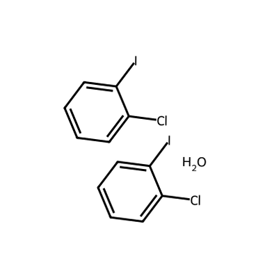 Clc1ccccc1I.Clc1ccccc1I.O